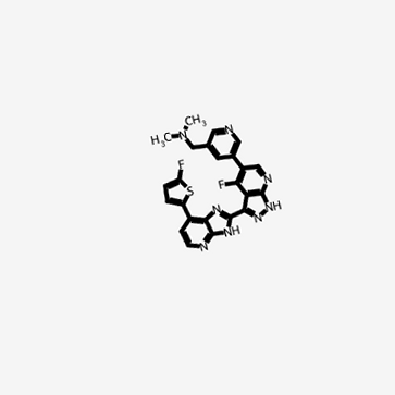 CN(C)Cc1cncc(-c2cnc3[nH]nc(-c4nc5c(-c6ccc(F)s6)ccnc5[nH]4)c3c2F)c1